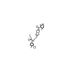 CCCC(=O)N(CCCN1CC2CN(C(=O)c3c(C)ccnc3C)CC2C1)c1ccc(C)c(Cl)c1